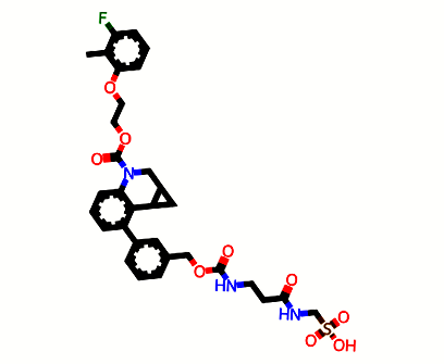 Cc1c(F)cccc1OCCOC(=O)N1CC2CC2c2c(-c3cccc(COC(=O)NCCC(=O)NCS(=O)(=O)O)c3)cccc21